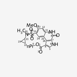 CCCOC(=O)c1c[nH]c2c(=O)[nH]c3cc(OC)c(S(=O)(=O)N(C)C4CC4)cc3c12